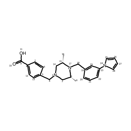 C[C@@H]1CN(Cc2ccc(C(=O)O)cc2)C[C@H](C)N1Cc1cccc(-n2cccc2)c1